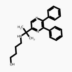 CC(C)(NCCCCO)c1cnc(-c2ccccc2)c(-c2ccccc2)n1